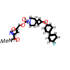 CNC(=O)c1cc(COC(=O)N2CCC3(CC2)CC(Oc2ccc(-c4ccc(F)cc4)cc2)C3)on1